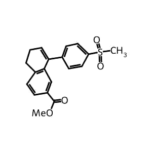 COC(=O)c1ccc2c(c1)C(c1ccc(S(C)(=O)=O)cc1)=CCC2